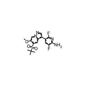 COc1cn2ncc(-c3cc(F)c(N)nc3F)c2cc1S(=O)(=O)C(C)(C)C